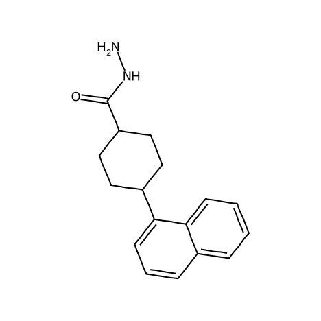 NNC(=O)C1CCC(c2cccc3ccccc23)CC1